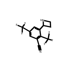 N#Cc1cc(C(F)(F)F)cc(C2CCN2)c1C(F)(F)F